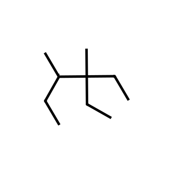 CC[C](C)C(C)(CC)CC